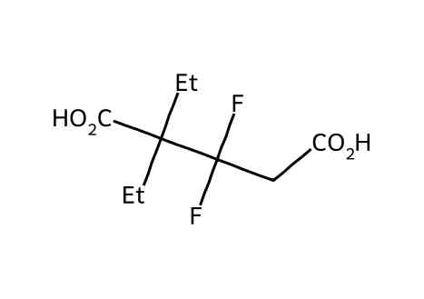 CCC(CC)(C(=O)O)C(F)(F)CC(=O)O